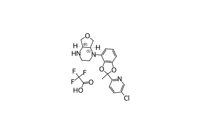 CC1(c2ccc(Cl)cn2)Oc2cccc(N3CCN[C@H]4COC[C@H]43)c2O1.O=C(O)C(F)(F)F